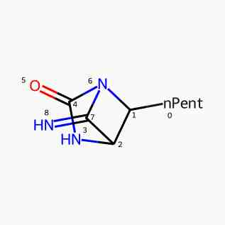 CCCCCC1C2NC(=O)N1C2=N